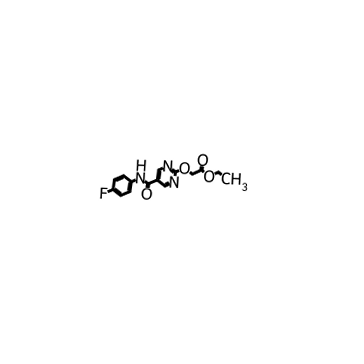 CCOC(=O)COc1ncc(C(=O)Nc2ccc(F)cc2)cn1